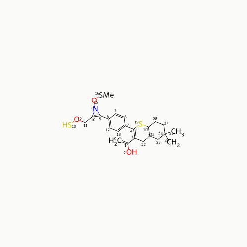 C=C(O)C1=C(c2ccc(C3=C(COS)N3OSC)cc2)SC2=C(C1)CC(C)(C)CC2